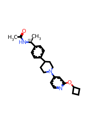 CC(=O)N[C@@H](C)c1ccc(C2CCN(c3ccnc(OC4CCC4)c3)CC2)cc1